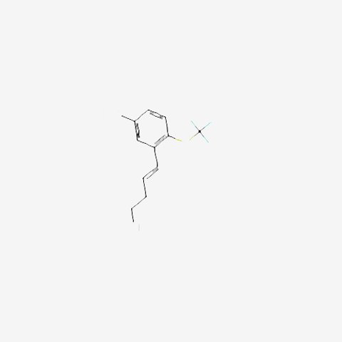 CCCC=Cc1cc(C)ccc1SC(F)(F)F